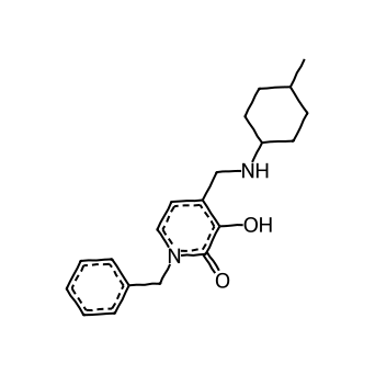 CC1CCC(NCc2ccn(Cc3ccccc3)c(=O)c2O)CC1